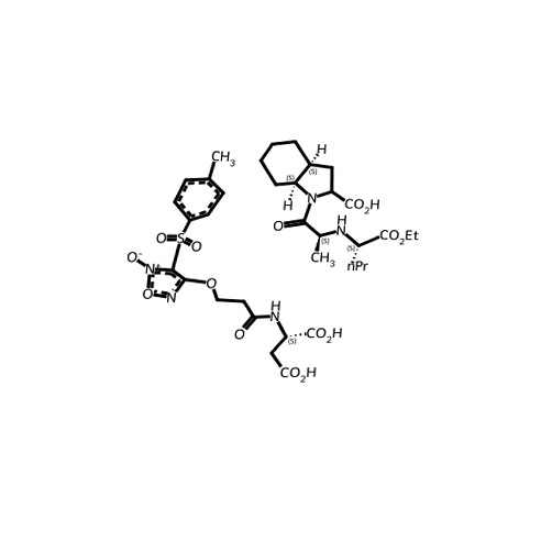 CCC[C@H](N[C@@H](C)C(=O)N1C(C(=O)O)C[C@@H]2CCCC[C@@H]21)C(=O)OCC.Cc1ccc(S(=O)(=O)c2c(OCCC(=O)N[C@@H](CC(=O)O)C(=O)O)no[n+]2[O-])cc1